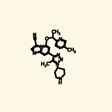 Cc1ccc(C(C)Oc2cc(-c3nnn(C4CCNCC4)c3C)cc3ncc(C#N)n23)nc1